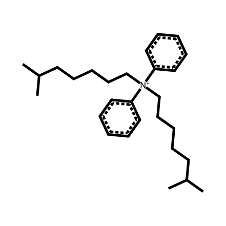 CC(C)CCCCC[N+](CCCCCC(C)C)(c1ccccc1)c1ccccc1